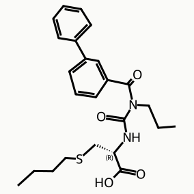 CCCCSC[C@H](NC(=O)N(CCC)C(=O)c1cccc(-c2ccccc2)c1)C(=O)O